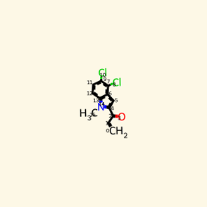 C=CC(=O)c1cc2c(Cl)c(Cl)ccc2n1C